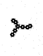 c1ccc(-c2ccc(-c3cc(-c4ccc(-c5ccc6ccccc6c5)cc4)nc(-c4ccc5ccccc5c4)n3)cc2)cc1